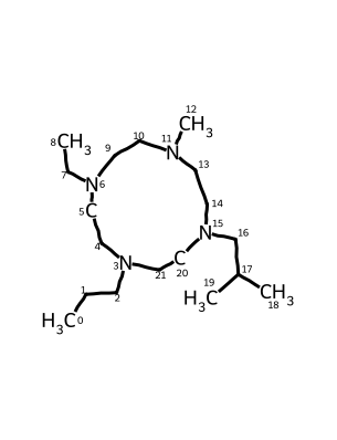 CCCN1CCN(CC)CCN(C)CCN(CC(C)C)CC1